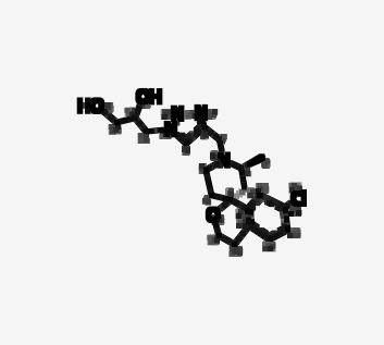 C[C@H]1C[C@@]2(CCN1Cc1cn(CC(O)CO)nn1)OCCc1ccc(Cl)cc12